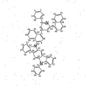 c1ccc(-c2cc(-c3ccc(-n4c5ccccc5c5cc6c(cc54)c4ccccc4n6-c4ccccc4)c4ccccc34)cc(-c3cccc4ccccc34)n2)cc1